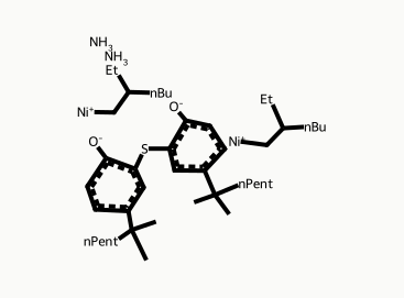 CCCCC(CC)[CH2][Ni+].CCCCC(CC)[CH2][Ni+].CCCCCC(C)(C)c1ccc([O-])c(Sc2cc(C(C)(C)CCCCC)ccc2[O-])c1.N.N